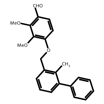 COc1c(C=O)ccc(OCc2cccc(-c3ccccc3)c2C)c1OC